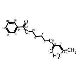 CC(C)=CC(=O)OCCCCOC(=O)c1ccccc1